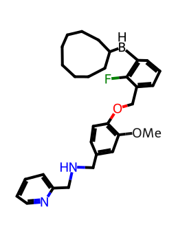 COc1cc(CNCc2ccccn2)ccc1OCc1cccc(BC2CCCCCCCC2)c1F